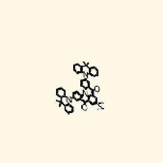 CC1(C)c2ccccc2N(c2ccc3c(c2)c(=O)c2cc(S(C)(C)C)cc4c(=O)c5cc(N6c7ccccc7C(C)(C)c7ccccc76)ccc5n3c24)c2ccccc21